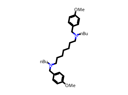 CCCCN(CCCCCCCN(CCCC)Cc1ccc(OC)cc1)Cc1ccc(OC)cc1